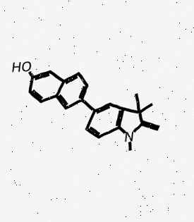 C=C1N(C)c2ccc(-c3ccc4cc(O)ccc4c3)cc2C1(C)C